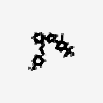 CCS(=O)(=O)c1ccc(-n2cc(-c3ncncc3OCC[C@H]3CC[C@@H](N)CC3)cn2)c(F)c1